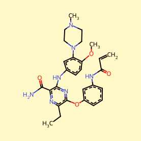 C=CC(=O)Nc1cccc(Oc2nc(Nc3ccc(OC)c(N4CCN(C)CC4)c3)c(C(N)=O)nc2CC)c1